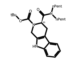 CCCCCN(CCCCC)C(=O)[C@H]1Cc2c([nH]c3ccccc23)CN1C(=O)OC(C)(C)C